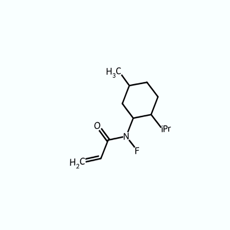 C=CC(=O)N(F)C1CC(C)CCC1C(C)C